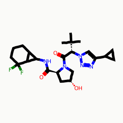 CC(C)(C)[C@@H](C(=O)N1C[C@H](O)C[C@H]1C(=O)NC1C2CCCC(F)(F)C21)n1cc(C2CC2)nn1